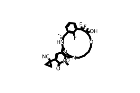 C[C@H]1Nc2nc(=O)n(c3c2cc(C2(C#N)CC2)c(=O)n3C)CCCCOCC(C)(O)C(F)(F)c2cccc1c2F